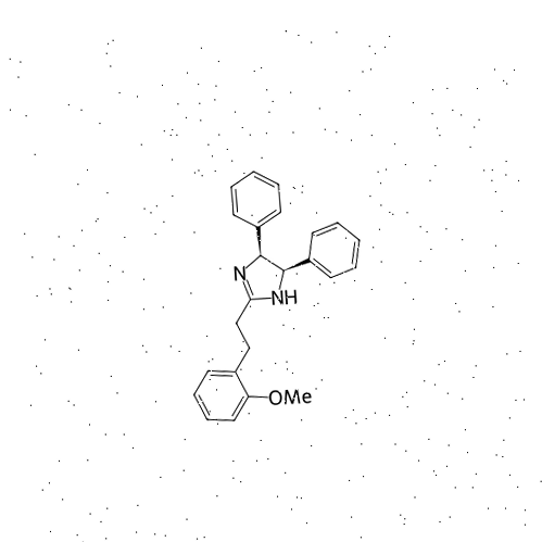 COc1ccccc1CCC1=N[C@@H](c2ccccc2)[C@@H](c2ccccc2)N1